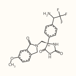 COc1ccc2c(c1)C(=O)N(C[C@@]1(c3ccc(C(N)C(F)(F)F)cc3)NC(=O)NC1=O)C2